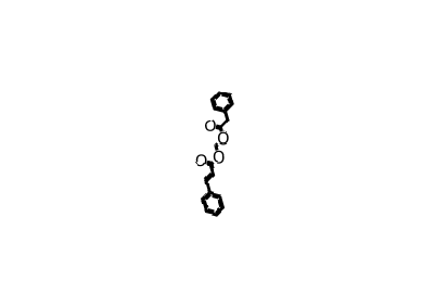 O=C(/C=C/c1ccccc1)OCOC(=O)Cc1ccccc1